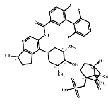 CC1(C)[C@@H]2CC[C@@]1(CS(=O)(=O)O)C(=O)C2.C[C@H]1CN(c2c(NC(=O)c3ccc(F)c(-c4c(F)cccc4F)n3)cnc3c2CC[C@H]3O)C[C@@H](N)[C@@H]1O